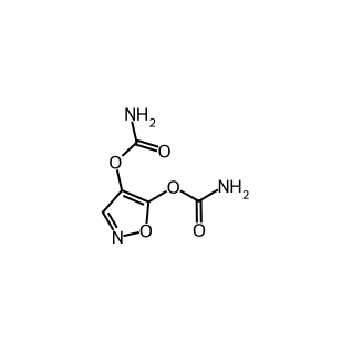 NC(=O)Oc1cnoc1OC(N)=O